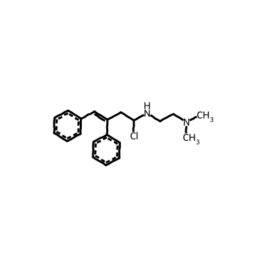 CN(C)CCNC(Cl)CC(=Cc1ccccc1)c1ccccc1